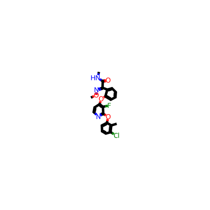 CNC(=O)/C(=N/OC)c1ccccc1Oc1ccnc(Oc2cccc(Cl)c2C)c1F